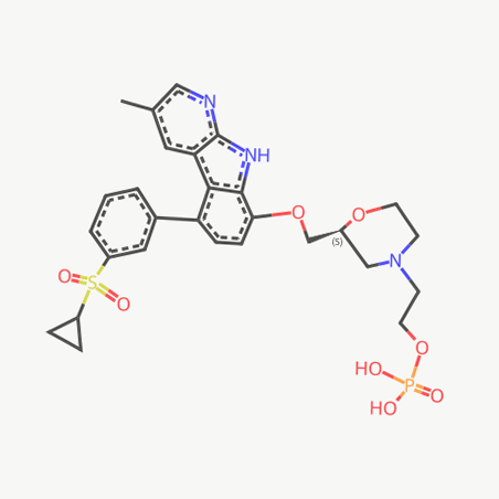 Cc1cnc2[nH]c3c(OC[C@@H]4CN(CCOP(=O)(O)O)CCO4)ccc(-c4cccc(S(=O)(=O)C5CC5)c4)c3c2c1